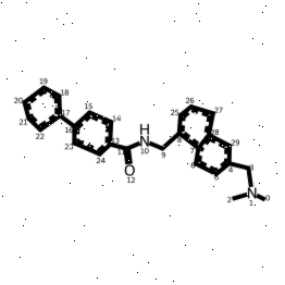 CN(C)Cc1ccc2c(CNC(=O)c3ccc(-c4ccccc4)cc3)cccc2c1